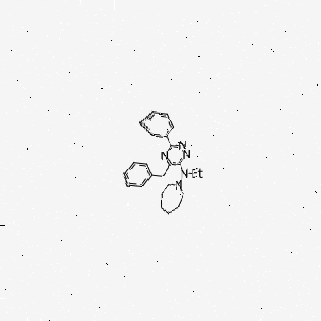 CCN(c1nnc(-c2ccccc2)nc1Cc1ccccc1)N1CCCCCC1